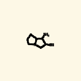 NC1C(O)CN2CCCC12